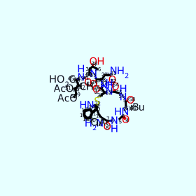 CC[C@H](C)[C@@H]1NC(=O)CNC(=O)C(N)Cc2c([nH]c3cccc(OC(C)=O)c23)SCC(C(=O)NC(CC(N)=O)C(=O)N2CC(O)C[C@H]2C(=O)N[C@H](C(=O)O)C(C)[C@H](COC(C)=O)OC(C)=O)NC(=O)CNC1=O